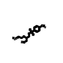 C=CCOC(CO)COS(=O)(=O)c1ccc(C)cc1